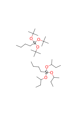 CCCC[Si](OC(C)(C)C)(OC(C)(C)C)OC(C)(C)C.CCCC[Si](OC(C)CC)(OC(C)CC)OC(C)CC